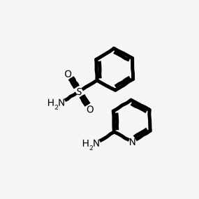 NS(=O)(=O)c1ccccc1.Nc1ccccn1